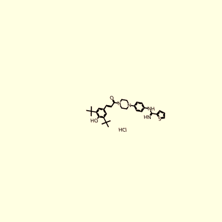 CC(C)(C)c1cc(C=CC(=O)N2CCN(c3ccc(NC(=N)c4cccs4)cc3)CC2)cc(C(C)(C)C)c1O.Cl